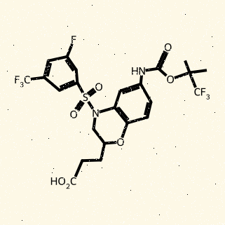 CC(C)(OC(=O)Nc1ccc2c(c1)N(S(=O)(=O)c1cc(F)cc(C(F)(F)F)c1)CC(CCC(=O)O)O2)C(F)(F)F